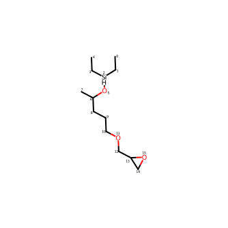 CC[SiH](CC)OC(C)CCCOCC1CO1